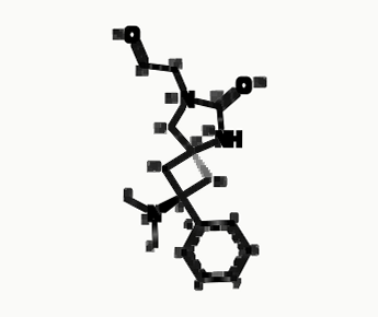 CN(C)[C@]1(c2ccccc2)C[C@@]2(CN(CC=O)C(=O)N2)C1